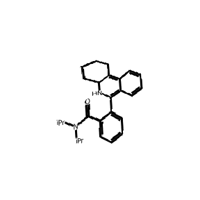 CC(C)N(C(=O)c1ccccc1C1=c2ccccc2=C2CCCCC2N1)C(C)C